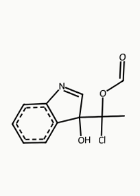 CC(Cl)(OC=O)C1(O)C=Nc2ccccc21